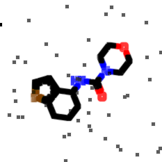 O=C(NC1CCCc2sccc21)N1CCOCC1